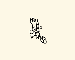 Cc1cc(N2CCOCC2)nc(C2CC2)c1C(=O)NCCCC(C)(C)C